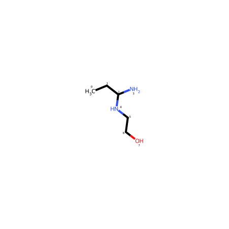 CCC(N)NCCO